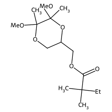 CCC(C)(C)C(=O)OCC1COC(C)(OC)C(C)(OC)O1